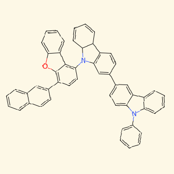 C1=CC2c3ccc(-c4ccc5c(c4)c4ccccc4n5-c4ccccc4)cc3N(c3ccc(-c4ccc5ccccc5c4)c4oc5ccccc5c34)C2C=C1